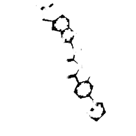 O=C(NC(=O)c1ccc(-n2cccn2)cc1Cl)Nc1nc2ccc(C[SH](=O)=O)cc2s1